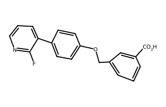 O=C(O)c1cccc(COc2ccc(-c3cccnc3F)cc2)c1